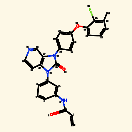 C=CC(=O)Nc1cccc(-n2c(=O)n(-c3ccc(Oc4cccc(C)c4F)cc3)c3cnccc32)c1